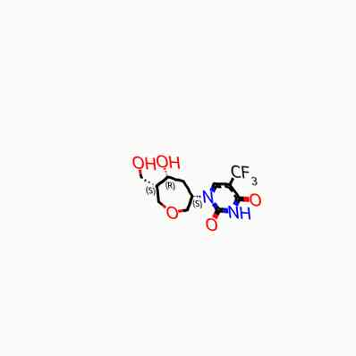 O=c1[nH]c(=O)n([C@@H]2COC[C@H](CO)[C@H](O)C2)cc1C(F)(F)F